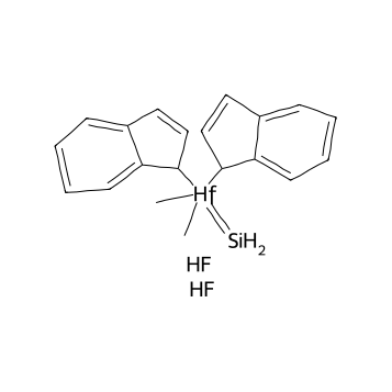 F.F.[CH3][Hf]([CH3])(=[SiH2])([CH]1C=Cc2ccccc21)[CH]1C=Cc2ccccc21